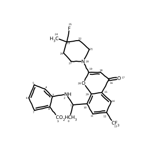 CC(Nc1ccccc1C(=O)O)c1cc(C(F)(F)F)cc2c(=O)cc(N3CCC(C)(F)CC3)oc12